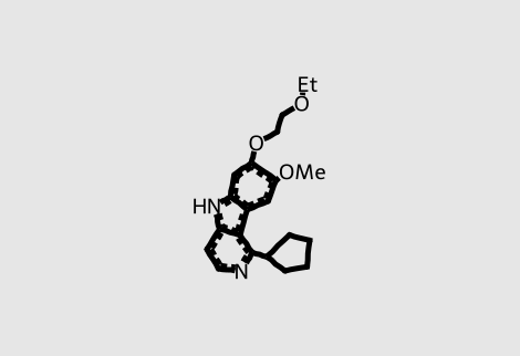 [CH2]COCCOc1cc2[nH]c3ccnc(C4CCCC4)c3c2cc1OC